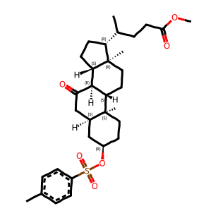 COC(=O)CCC(C)[C@H]1CC[C@H]2[C@@H]3C(=O)C[C@@H]4C[C@H](OS(=O)(=O)c5ccc(C)cc5)CC[C@]4(C)[C@H]3CC[C@]12C